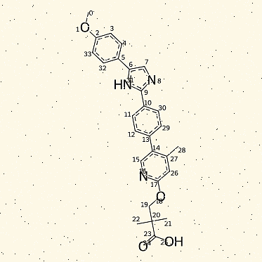 COc1ccc(-c2cnc(-c3ccc(-c4cnc(OCC(C)(C)C(=O)O)cc4C)cc3)[nH]2)cc1